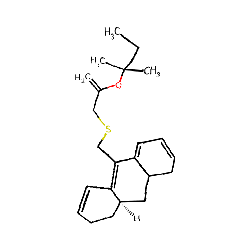 C=C(CSCC1=C2C=CCC[C@@H]2CC2CC=CC=C12)OC(C)(C)CC